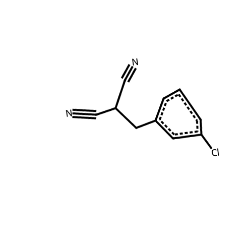 N#CC(C#N)Cc1cccc(Cl)c1